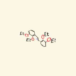 CCOc1cccc(/C=C/c2cccc(OCC)c2OCC)c1OCC